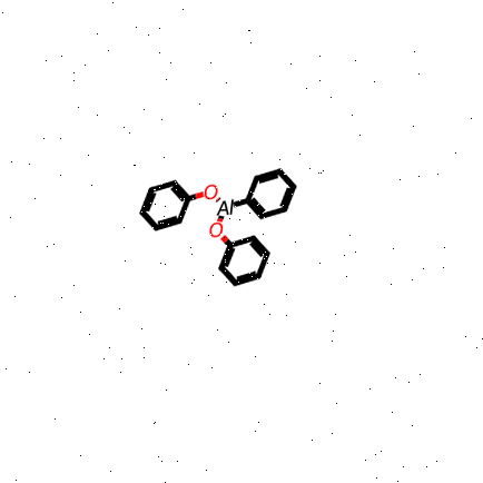 c1ccc([O][Al]([O]c2ccccc2)[c]2ccccc2)cc1